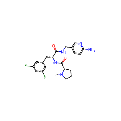 CN1CCC[C@@H]1C(=O)N[C@@H](Cc1cc(F)cc(F)c1)C(=O)NCc1ccc(N)nc1